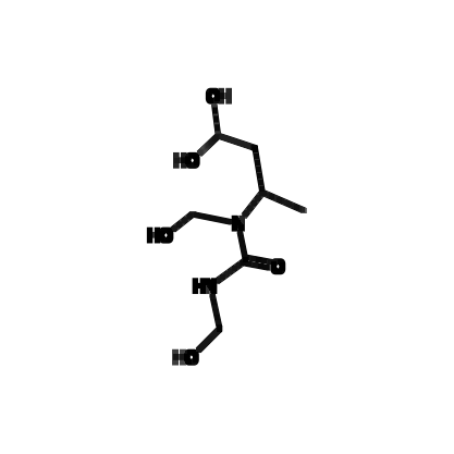 CC(CC(O)O)N(CO)C(=O)NCO